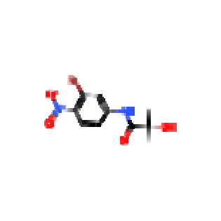 CC(C)(O)C(=O)Nc1ccc([N+](=O)[O-])c(Br)c1